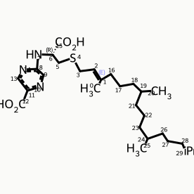 C/C(=C\CSC[C@H](Nc1cnc(C(=O)O)cn1)C(=O)O)CCCC(C)CCCC(C)CCCC(C)C